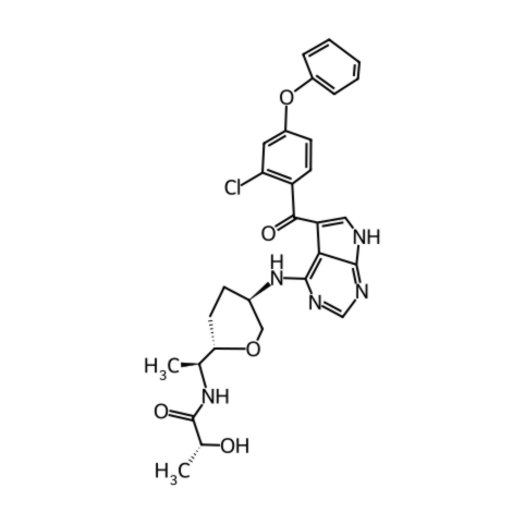 C[C@H](NC(=O)[C@@H](C)O)[C@@H]1CC[C@@H](Nc2ncnc3[nH]cc(C(=O)c4ccc(Oc5ccccc5)cc4Cl)c23)CO1